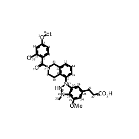 CCOc1ccc(C(=O)N2CCc3c(cccc3N3NN(C)c4c(OC)cc(CCC(=O)O)cc43)C2)c(Cl)c1